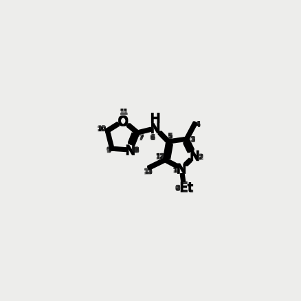 CCn1nc(C)c(NC2=NCCO2)c1C